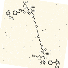 Cc1ncsc1-c1ccc(CNC(=O)[C@@H]2C[C@@H](O)CN2C(=O)[C@@H](NC(=O)COCCCCOCCCCOCCCCOCC(=O)N[C@H](C(=O)N2C[C@H](O)C[C@H]2C(=O)NCc2ccc(-c3scnc3C)cc2)C(C)(C)C)C(C)(C)C)cc1